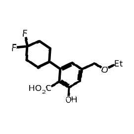 CCOCc1cc(O)c(C(=O)O)c(C2CCC(F)(F)CC2)c1